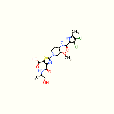 CO[C@H]1CN(c2nc(C(=O)N[C@H](C)CO)c(C(=O)O)s2)CC[C@H]1NC(=O)c1[nH]c(C)c(Cl)c1Cl